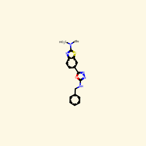 CC(C)(C)N(C(=O)O)c1nc2ccc(-c3nnc(NCc4ccccc4)o3)cc2s1